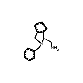 NC[C@@H]1c2ccccc2CN1Cc1ccccc1